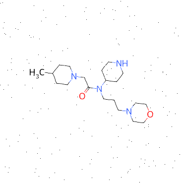 CC1CCN(CC(=O)N(CCCN2CCOCC2)C2CCNCC2)CC1